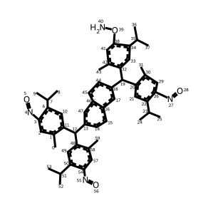 Cc1cc(N=O)c(C(C)C)cc1C(c1ccc2cc(C(c3cc(C(C)C)c(N=O)cc3C)c3cc(C(C)C)c(ON)cc3C)ccc2c1)c1cc(C(C)C)c(N=O)cc1C